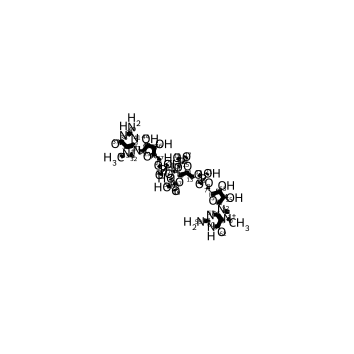 C[n+]1cn([C@@H]2O[C@H](COP(=O)(O)OCC(OP(=O)(O)O)[C@@H](COP(=O)(O)OC[C@H]3O[C@@H](n4c[n+](C)c5c(=O)[nH]c(N)nc54)[C@H](O)[C@@H]3O)OP(=O)(O)O)[C@@H](O)[C@H]2O)c2nc(N)[nH]c(=O)c21